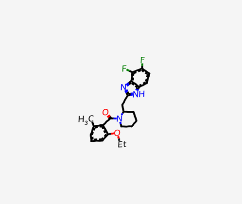 CCOc1cccc(C)c1C(=O)N1CCCCC1Cc1nc2c(F)c(F)ccc2[nH]1